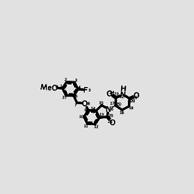 COc1ccc(F)c(COc2cccc3c2CN([C@H]2CCC(=O)NC2=O)C3=O)c1